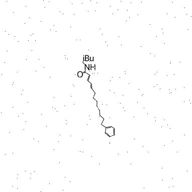 CCC(C)CNC(=O)/C=C/C=C/CCCCCCCCc1ccccc1